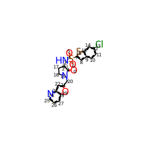 O=C1[C@@H](NS(=O)(=O)c2cc3ccc(Cl)cc3s2)CCN1Cc1cc2ncccc2o1